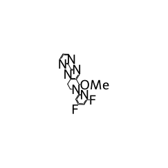 COC1c2cnc(-c3ncccn3)nc2CCN1c1cc(F)cc(F)n1